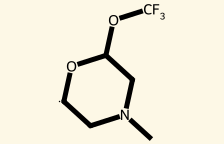 CN1C[CH]OC(OC(F)(F)F)C1